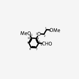 COCCOc1c(C=O)cccc1OC